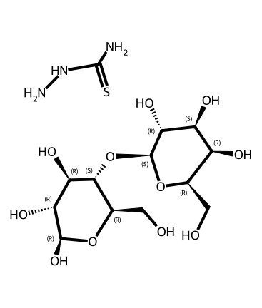 NNC(N)=S.OC[C@H]1O[C@@H](O[C@H]2[C@H](O)[C@@H](O)[C@H](O)O[C@@H]2CO)[C@H](O)[C@@H](O)[C@H]1O